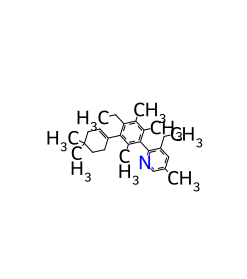 CCc1cc(C)cnc1-c1c(C)c(C)c(CC)c(C2=CCC(C)(C)CC2)c1C